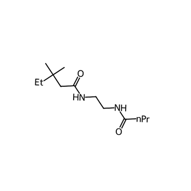 CCCC(=O)NCCNC(=O)CC(C)(C)CC